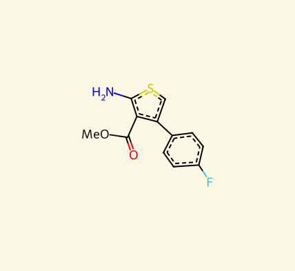 COC(=O)c1c(-c2ccc(F)cc2)csc1N